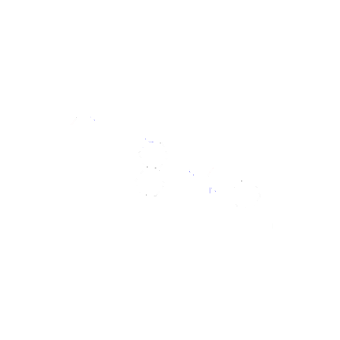 CN(C(=O)Nc1ccc(F)c(C(F)F)c1)C1COCc2nc(OCCNC(=O)O)c3cc(F)c(F)cc3c21